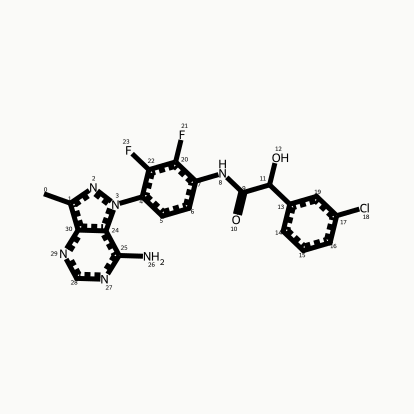 Cc1nn(-c2ccc(NC(=O)C(O)c3cccc(Cl)c3)c(F)c2F)c2c(N)ncnc12